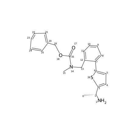 C[C@@H](N)c1ccc(-c2ccccc2CN(C)C(=O)OCc2ccccc2)s1